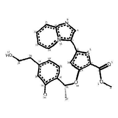 COC(=O)c1sc(-c2cnc3ccccn23)cc1O[C@H](C)c1ccc(CCO)cc1Cl